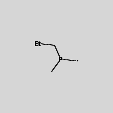 [CH2]P(C)CCC